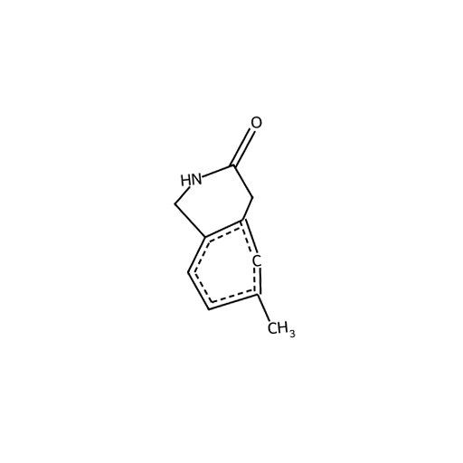 Cc1ccc2c(c1)CC(=O)NC2